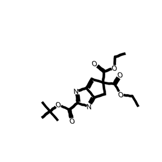 CCOC(=O)C1(C(=O)OCC)C=C2N=C(C(=O)OC(C)(C)C)N=C2C1